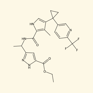 CCOC(=O)c1cc(C(C)NC(=O)c2[nH]cc(C3(c4ccc(C(F)(F)F)nc4)CC3)c2C)n[nH]1